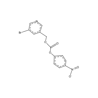 O=C(OCc1cncc(Br)c1)Oc1ccc([N+](=O)[O-])cc1